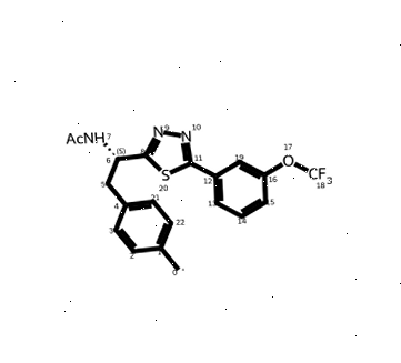 [CH2]c1ccc(C[C@H](NC(C)=O)c2nnc(-c3cccc(OC(F)(F)F)c3)s2)cc1